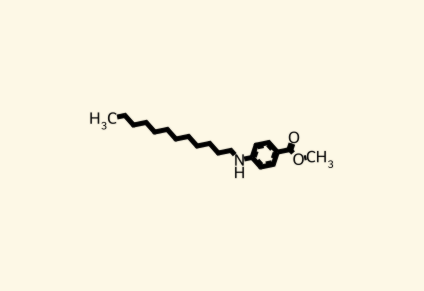 CCCCCCCCCCCCNc1ccc(C(=O)OC)cc1